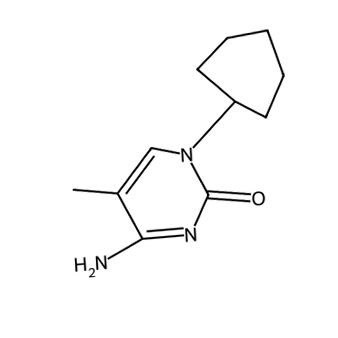 Cc1cn(C2CCCCC2)c(=O)nc1N